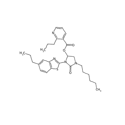 CCCCCCN1CC(OC(=O)c2cccnc2CCC)N(c2nc3cc(CCC)ccc3s2)C1=O